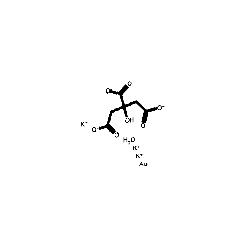 O.O=C([O-])CC(O)(CC(=O)[O-])C(=O)[O-].[Au].[K+].[K+].[K+]